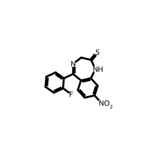 O=[N+]([O-])c1ccc2c(c1)NC(=S)CN=C2c1ccccc1F